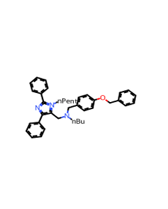 CCCCCn1c(-c2ccccc2)nc(-c2ccccc2)c1CN(CCCC)Cc1ccc(OCc2ccccc2)cc1